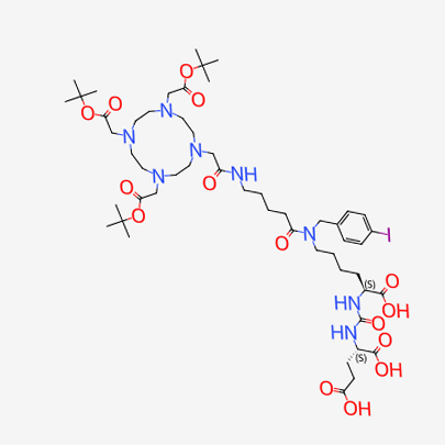 CC(C)(C)OC(=O)CN1CCN(CC(=O)NCCCCC(=O)N(CCCC[C@H](NC(=O)N[C@@H](CCC(=O)O)C(=O)O)C(=O)O)Cc2ccc(I)cc2)CCN(CC(=O)OC(C)(C)C)CCN(CC(=O)OC(C)(C)C)CC1